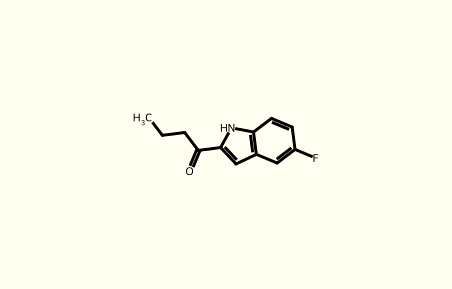 CCCC(=O)c1cc2cc(F)ccc2[nH]1